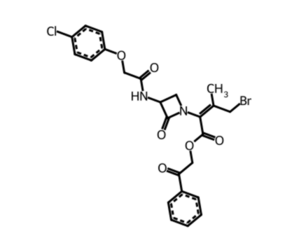 CC(CBr)=C(C(=O)OCC(=O)c1ccccc1)N1CC(NC(=O)COc2ccc(Cl)cc2)C1=O